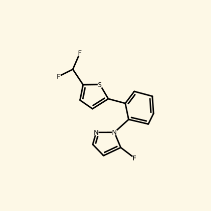 Fc1ccnn1-c1ccccc1-c1ccc(C(F)F)s1